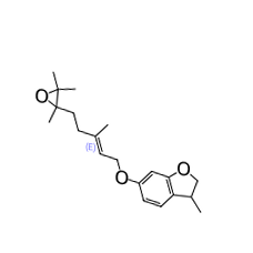 C/C(=C\COc1ccc2c(c1)OCC2C)CCC1(C)OC1(C)C